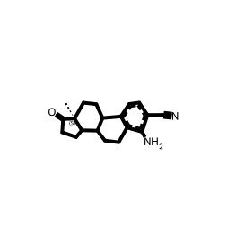 C[C@]12CCC3c4ccc(C#N)c(N)c4CCC3C1CCC2=O